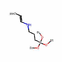 CCO[Si](CCCNC=COC)(OCC)OCC